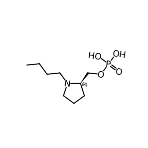 CCCCN1CCC[C@@H]1COP(=O)(O)O